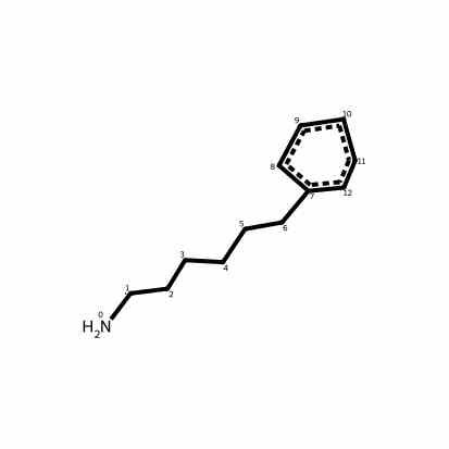 N[CH]CCCCCc1ccccc1